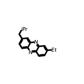 CCc1ccc2nc3ccc(CC(C)C)cc3nc2c1